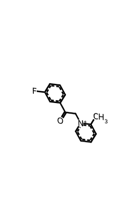 Cc1cccc[n+]1CC(=O)c1cccc(F)c1